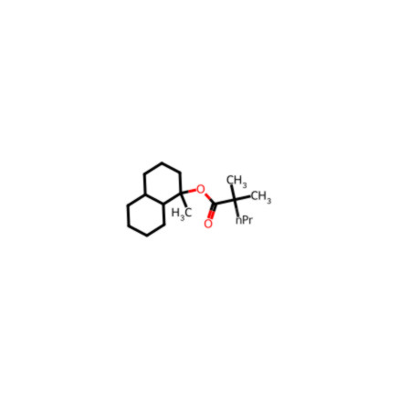 CCCC(C)(C)C(=O)OC1(C)CCCC2CCCCC21